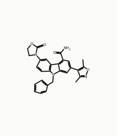 Cc1noc(C)c1-c1cc(C(N)=O)c2c3cc(N4CCOC4=O)ccc3n(Cc3ccccc3)c2c1